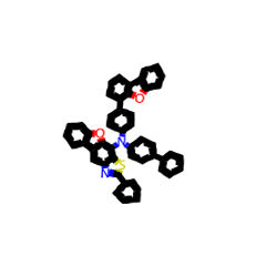 c1ccc(-c2ccc(N(c3ccc(-c4cccc5c4oc4ccccc45)cc3)c3c4oc5ccccc5c4cc4nc(-c5ccccc5)sc34)cc2)cc1